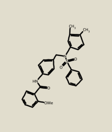 COc1ccccc1C(=O)Nc1ccc(CN(c2ccc(C)c(C)c2)S(=O)(=O)c2ccccc2)cc1